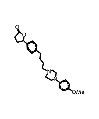 COc1ccc(N2CCN(CCCCc3ccc(C4CCC(=O)O4)cc3)CC2)cc1